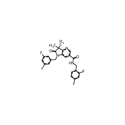 CC1(C)C(=O)N(Cc2cc(F)cc(F)c2)c2cc(C(=O)NCc3ccc(F)cc3F)cnc21